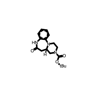 CC(C)(C)OC(=O)N1CCN2c3ccccc3NC(=O)C[C@H]2C1